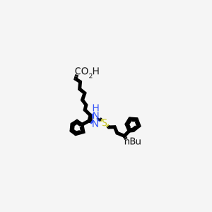 CCCCC(CCCSc1nc(-c2ccccc2)c(CCCCCCCC(=O)O)[nH]1)c1ccccc1